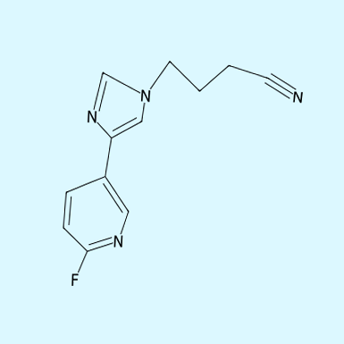 N#CCCCn1cnc(-c2ccc(F)nc2)c1